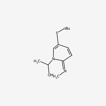 CCCCSc1cc/c(=N/C)n(C(C)O)c1